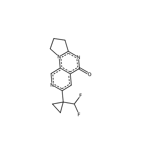 O=c1nc2n(c3cnc(C4(C(F)F)CC4)cc13)CCC2